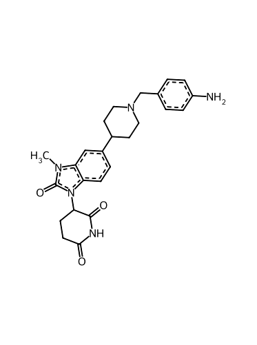 Cn1c(=O)n(C2CCC(=O)NC2=O)c2ccc(C3CCN(Cc4ccc(N)cc4)CC3)cc21